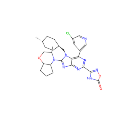 CC1COC2CCCC2N1c1nc2nc(-c3noc(=O)[nH]3)nc(-c3cncc(Cl)c3)c2n1C[C@H]1CC[C@H](C)CC1